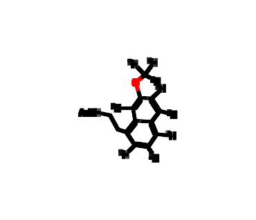 [2H]c1c([2H])c(CCNC(C)=O)c2c([2H])c(OC([2H])([2H])[2H])c([2H])c([2H])c2c1[2H]